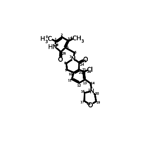 Cc1cc(C)c(CN2CCc3ccc(CN4CCOCC4)c(Cl)c3C2=O)c(=O)[nH]1